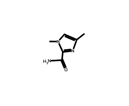 Cc1cn(C)c(C(N)=O)n1